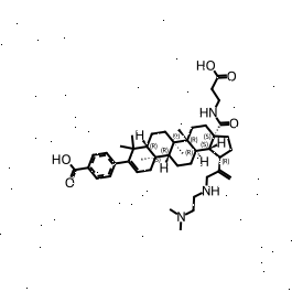 C=C(CNCCN(C)C)[C@@H]1CC[C@]2(C(=O)NCCC(=O)O)CC[C@]3(C)[C@H](CC[C@@H]4[C@@]5(C)CC=C(c6ccc(C(=O)O)cc6)C(C)(C)[C@@H]5CC[C@]43C)[C@@H]12